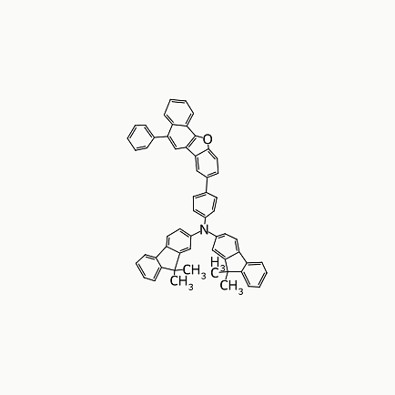 CC1(C)c2ccccc2-c2ccc(N(c3ccc(-c4ccc5oc6c7ccccc7c(-c7ccccc7)cc6c5c4)cc3)c3ccc4c(c3)C(C)(C)c3ccccc3-4)cc21